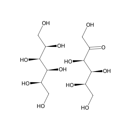 O=C(CO)[C@H](O)[C@@H](O)[C@H](O)CO.OC[C@@H](O)[C@H](O)[C@@H](O)[C@H](O)CO